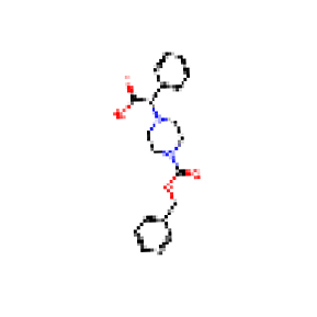 O=C(O)C(c1ccccc1)N1CCN(C(=O)OCc2ccccc2)CC1